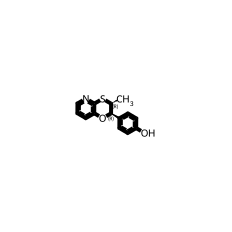 C[C@H]1Sc2ncccc2O[C@@H]1c1ccc(O)cc1